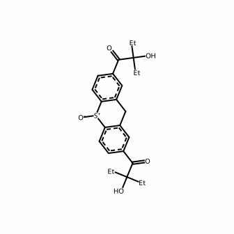 CCC(O)(CC)C(=O)c1ccc2c(c1)Cc1cc(C(=O)C(O)(CC)CC)ccc1[S+]2[O-]